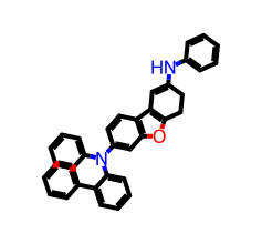 C1=C(Nc2ccccc2)CCc2oc3cc(N(c4ccccc4)c4ccccc4-c4ccccc4)ccc3c21